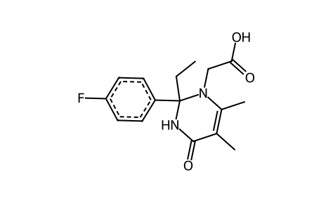 CCC1(c2ccc(F)cc2)NC(=O)C(C)=C(C)N1CC(=O)O